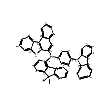 CC1(C)c2ccccc2-c2c(N(c3ccc(-n4c5ccccc5c5ccccc54)cc3)c3cc4ccccc4c4c3oc3ccccc34)cccc21